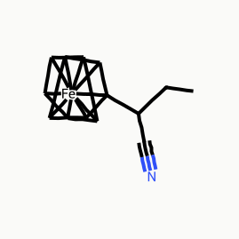 CCC(C#N)[C]12[CH]3[CH]4[CH]5[CH]1[Fe]45321678[CH]2[CH]1[CH]6[CH]7[CH]28